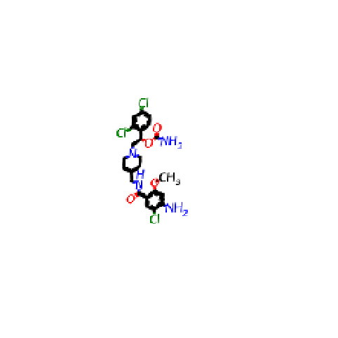 COc1cc(N)c(Cl)cc1C(=O)NCC1CCN(CC(OC(N)=O)c2ccc(Cl)cc2Cl)CC1